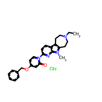 CCN1CCc2c(n(C)c3nc(-n4ccc(OCc5ccccc5)cc4=O)ccc23)CC1.Cl